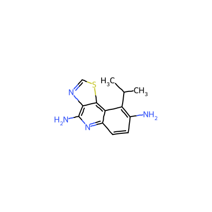 CC(C)c1c(N)ccc2nc(N)c3ncsc3c12